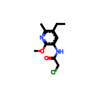 CCc1cc(NC(=O)CCl)c(OC)nc1C